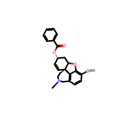 COc1ccc2c3c1OC1C[C@@H](OC(=O)c4ccccc4)C=C[C@@]31CCN(C)C2